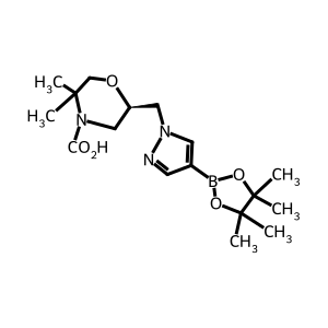 CC1(C)CO[C@@H](Cn2cc(B3OC(C)(C)C(C)(C)O3)cn2)CN1C(=O)O